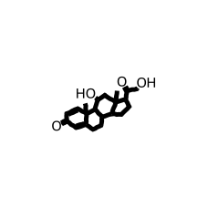 CC12C=CC(=O)C=C1CCC1C2C(O)CC2(C)C(C(=O)CO)CCC12